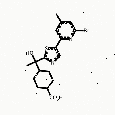 Cc1cc(Br)nc(-c2cnc(C(C)(O)C3CCC(C(=O)O)CC3)s2)c1